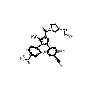 CCN[C@H]1CCN(C(=O)c2nc(-c3ccc(C#N)c(F)c3)n(-c3ccc(OC)cc3)c2C)C1